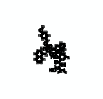 CCC(C)[C@@H](CO)NC(=O)CC(O)C(CC(C)C)NC(=O)[C@H](Cc1cscn1)NC(=O)[C@H](Cc1cccc2ccccc12)NC(=O)OCc1ccc(OC)cc1